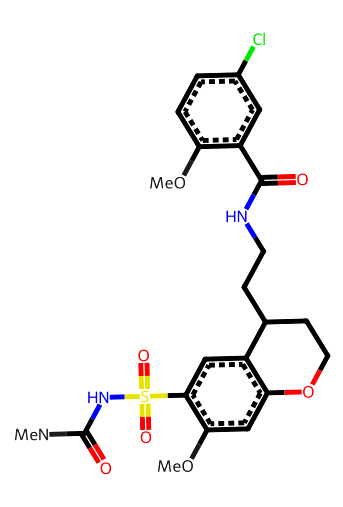 CNC(=O)NS(=O)(=O)c1cc2c(cc1OC)OCCC2CCNC(=O)c1cc(Cl)ccc1OC